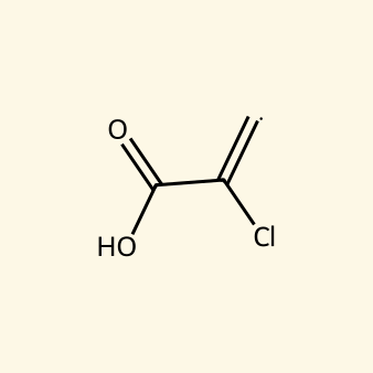 [CH]=C(Cl)C(=O)O